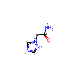 NC(=O)Cn1cncn1